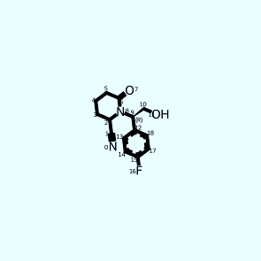 N#CC1CCCC(=O)N1[C@@H](CO)c1ccc(F)cc1